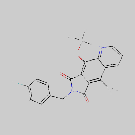 CC[Si](CC)(CC)Oc1c2c(c(OC)c3cccnc13)C(=O)N(Cc1ccc(F)cc1)C2=O